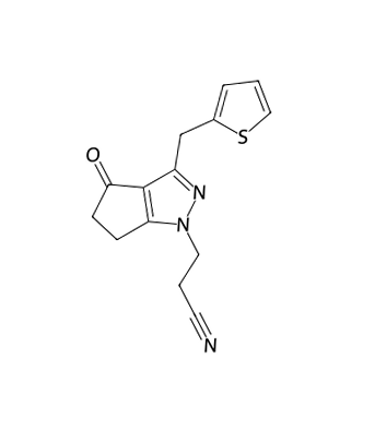 N#CCCn1nc(Cc2cccs2)c2c1CCC2=O